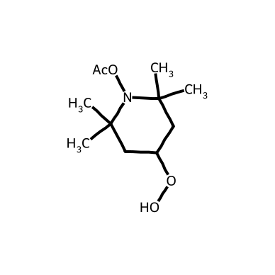 CC(=O)ON1C(C)(C)CC(OO)CC1(C)C